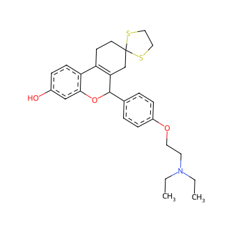 CCN(CC)CCOc1ccc(C2Oc3cc(O)ccc3C3=C2CC2(CC3)SCCS2)cc1